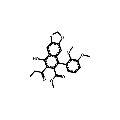 CCC(=O)c1c(C(=O)OC)c(-c2cccc(OC)c2OC)c2cc3c(cc2c1O)OCO3